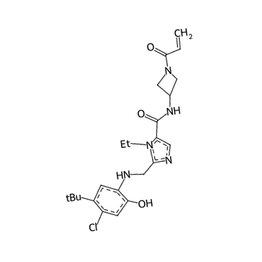 C=CC(=O)N1CC(NC(=O)c2cnc(CNc3cc(C(C)(C)C)c(Cl)cc3O)n2CC)C1